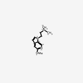 COc1cc2ccn(CCN(C)C)c2cn1